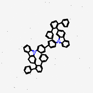 C1=C(c2c(-c3ccccc3)cccc2-c2ccccc2)CCc2c1n(-c1ccc(-c3ccc(-n4c5ccccc5c5ccc(-c6c(-c7ccccc7)cccc6-c6ccccc6)cc54)cc3)cc1)c1ccccc21